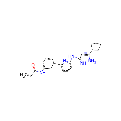 C=CC(=O)NC1=CC=CC(c2cccc(NC(=N)/C=C(\N)C3CCCC3)n2)C1